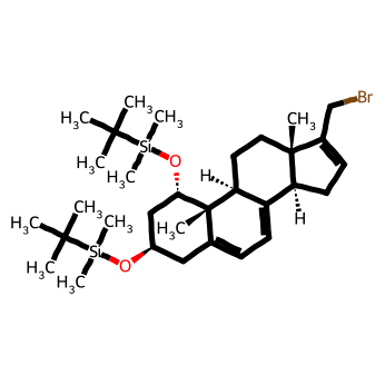 CC(C)(C)[Si](C)(C)O[C@@H]1CC2=CC=C3[C@H](CC[C@]4(C)C(CBr)=CC[C@@H]34)[C@@]2(C)[C@@H](O[Si](C)(C)C(C)(C)C)C1